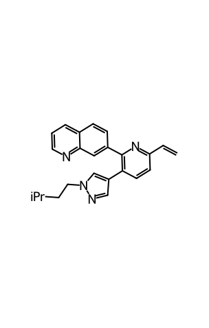 C=Cc1ccc(-c2cnn(CCC(C)C)c2)c(-c2ccc3cccnc3c2)n1